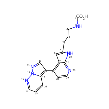 O=C(O)NCCCc1cc2c(-c3cnn4ncccc34)ccnc2[nH]1